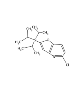 CC(C)[Si](c1cc2nc(Cl)ccc2o1)(C(C)C)C(C)C